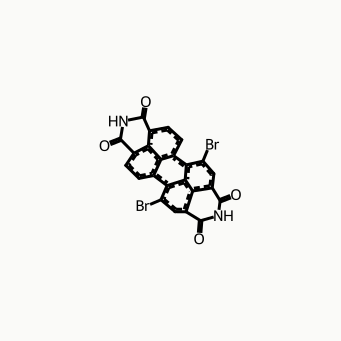 O=C1NC(=O)c2ccc3c4c(Br)cc5c6c(cc(Br)c(c7ccc1c2c73)c64)C(=O)NC5=O